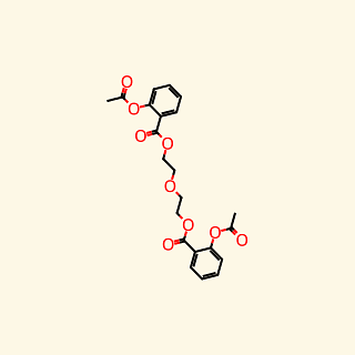 CC(=O)Oc1ccccc1C(=O)OCCOCCOC(=O)c1ccccc1OC(C)=O